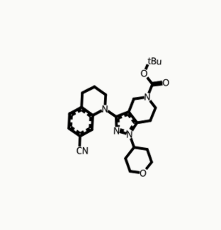 CC(C)(C)OC(=O)N1CCc2c(c(N3CCCc4ccc(C#N)cc43)nn2C2CCOCC2)C1